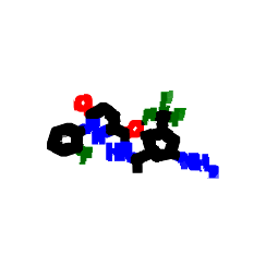 CC(NC(=O)c1ccc(=O)n(-c2ccccc2F)n1)c1cc(N)cc(C(F)(F)F)c1